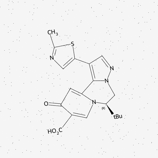 Cc1ncc(-c2cnn3c2-c2cc(=O)c(C(=O)O)cn2[C@H](C(C)(C)C)C3)s1